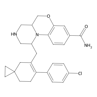 NC(=O)c1ccc2c(c1)OCC1CNCC(CC3=C(c4ccc(Cl)cc4)CCC4(CC4)C3)N21